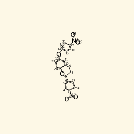 O=[N+]([O-])c1ccc(C2CCc3cc(Oc4ccc([N+](=O)[O-])cn4)ccc3O2)cc1